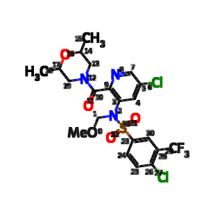 COCN(c1cc(Cl)cnc1C(=O)N1CC(C)OC(C)C1)S(=O)(=O)c1ccc(Cl)c(C(F)(F)F)c1